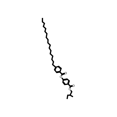 CCCCCCCCCCCCCCCCCCc1ccc(C(=O)Oc2ccc(C(=O)OCC(C)CC)cc2)cc1